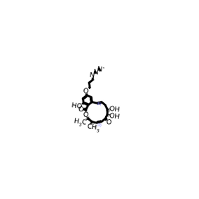 C[C@@H]1/C=C\C(=O)[C@@H](O)[C@@H](O)C/C=C/c2cc(OCCCN=[N+]=[N-])cc(O)c2C(=O)O[C@H]1C